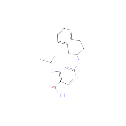 CC(C)Nc1nc(N[C@@H]2CCc3ccccc3C2)ncc1C(N)=O